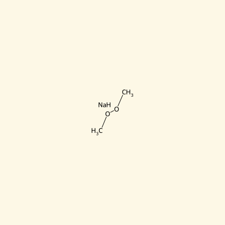 COOC.[NaH]